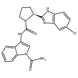 NC(=O)n1cc(NC(=O)N2CCC[C@H]2c2nc3cc(Cl)ccc3[nH]2)c2ccccc21